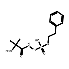 CCCCCCC(C)(C)C(=O)NOP(=O)(O)OCCc1ccccc1